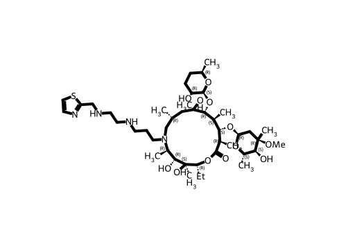 CC[C@H]1OC(=O)[C@H](C)[C@@H](O[C@H]2C[C@@](C)(OC)[C@@H](O)[C@H](C)O2)[C@H](C)[C@@H](O[C@@H]2O[C@H](C)CC[C@H]2O)C(C)(O)C[C@@H](C)CN(CCCNCCNCc2nccs2)[C@H](C)[C@@H](O)[C@]1(C)O